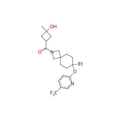 CCC1(Oc2ccc(C(F)(F)F)cn2)CCC2(CC1)CN(C(=O)C1CC(C)(O)C1)C2